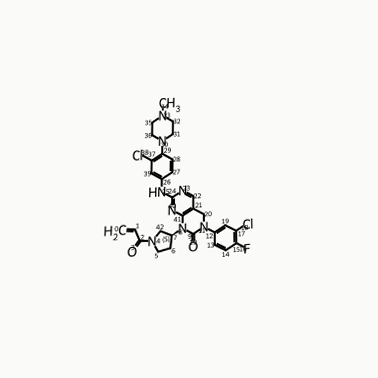 C=CC(=O)N1CC[C@H](N2C(=O)N(c3ccc(F)c(Cl)c3)Cc3cnc(Nc4ccc(N5CCN(C)CC5)c(Cl)c4)nc32)C1